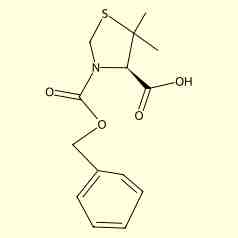 CC1(C)SCN(C(=O)OCc2ccccc2)[C@@H]1C(=O)O